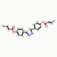 C/C=C/C(=O)Oc1ccc(-c2nnc(-c3ccc(OC(=O)/C=C/C)cc3)s2)cc1